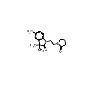 CC1(C)C(=O)N(CCN2CCCC2=O)c2ccc(N)cc21